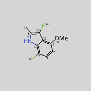 COc1ccc(F)c2[nH]c(C)c(F)c12